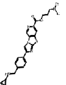 CCN(CC)CCCNC(=O)c1cc2sc3nc(-c4ccc(CNC5CC5)cc4)cn3c2cn1